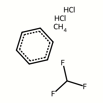 C.Cl.Cl.FC(F)F.c1ccccc1